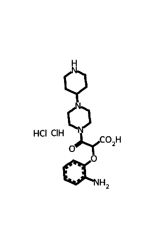 Cl.Cl.Nc1ccccc1OC(C(=O)O)C(=O)N1CCN(C2CCNCC2)CC1